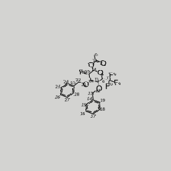 CC(=O)O[C@H]1O[C@H](C(F)(F)F)[C@H](OCc2ccccc2)[C@H](OCc2ccccc2)[C@H]1F